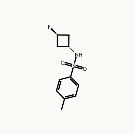 Cc1ccc(S(=O)(=O)N[C@H]2C[C@H](F)C2)cc1